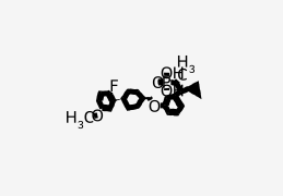 COc1ccc(F)c([C@H]2CC[C@H](COc3cccc(C(C4CC4)C(C)P(=O)(O)O)c3)CC2)c1